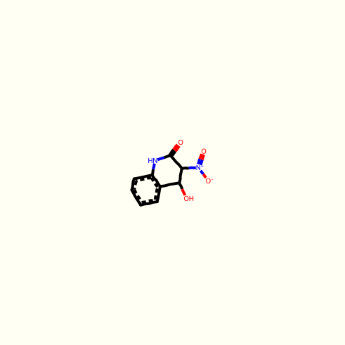 O=C1Nc2ccccc2C(O)C1[N+](=O)[O-]